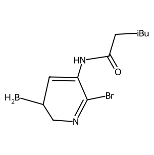 BC1C=C(NC(=O)CC(C)CC)C(Br)=NC1